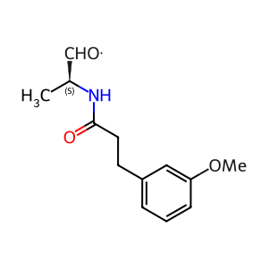 COc1cccc(CCC(=O)N[C@@H](C)[C]=O)c1